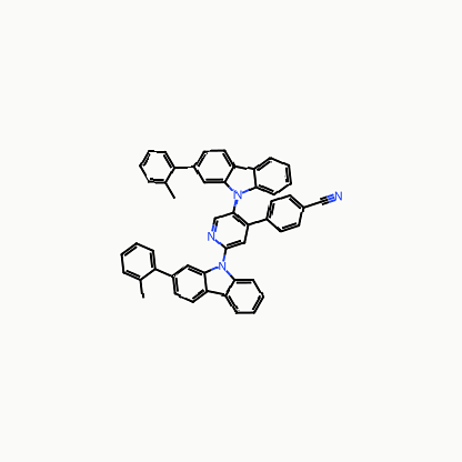 Cc1ccccc1-c1ccc2c3ccccc3n(-c3cc(-c4ccc(C#N)cc4)c(-n4c5ccccc5c5ccc(-c6ccccc6C)cc54)cn3)c2c1